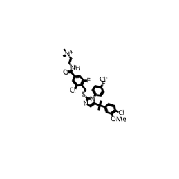 COc1cc(C(C)(C)c2cnc(SCc3c(F)cc(C(=O)NCC[N+](C)(C)C)cc3Cl)n2-c2ccc(F)cc2)ccc1Cl.[Cl-]